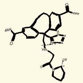 CNC(=O)c1ccc2c(c1)CCc1cc(C(=O)NC)ccc1C2(C[C@@H](NCC(=O)N1CCC[C@H]1C#N)C(C)C)c1nnn[nH]1